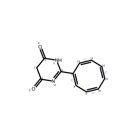 O=C1CC(=O)NC(C2=C/C=C\C=C/C=C\2)=N1